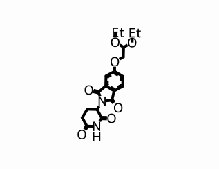 CCOC(COc1ccc2c(c1)C(=O)N(C1CCC(=O)NC1=O)C2=O)OCC